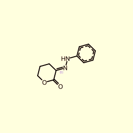 O=C1OCCC/C1=N\Nc1ccccc1